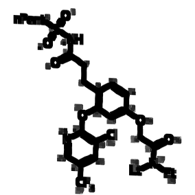 CCCCCS(=O)(=O)NC(=O)CCc1ccc(OCC(=O)N(CC)CC)cc1Oc1ncc(C(F)(F)F)cc1Cl